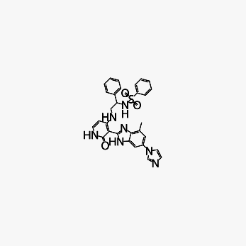 Cc1cc(-n2ccnc2)cc2[nH]c(-c3c(NCC(NS(=O)(=O)c4ccccc4)c4ccccc4)cc[nH]c3=O)nc12